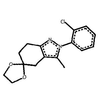 Cc1c2c(nn1-c1ccccc1Cl)CCC1(C2)OCCO1